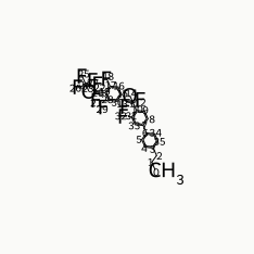 CCCc1ccc(-c2ccc(C(F)(F)Oc3cc(F)c(C(F)(F)OC(F)(F)F)c(F)c3)c(F)c2)cc1